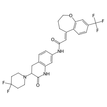 O=C(/C=C1\CCCOc2cc(C(F)(F)F)ccc21)Nc1ccc2c(c1)NC(=O)C(N1CCC(F)(F)CC1)C2